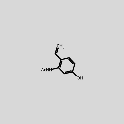 C=Cc1ccc(O)cc1NC(C)=O